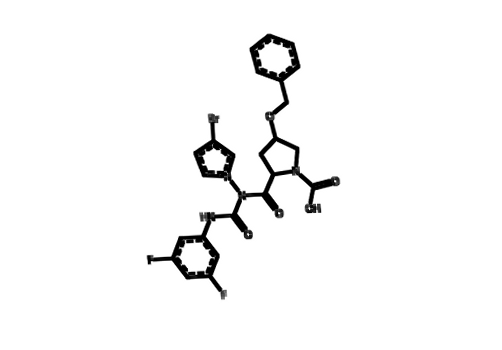 O=C(O)N1CC(OCc2ccccc2)CC1C(=O)N(C(=O)Nc1cc(F)cc(F)c1)n1ccc(Br)c1